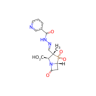 C[C@]1(/C=N/NC(=O)c2cccnc2)[C@H](C(=O)O)N2C(=O)C[C@H]2S1(=O)=O